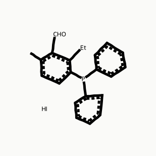 CCc1c(P(c2ccccc2)c2ccccc2)ccc(C)c1C=O.I